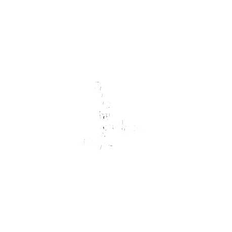 CC(C)(C)OC(=O)N[C@H]1CCCC/C=C\[C@@H]2C[C@@]2(C(=O)O)NC(=O)[C@@H]2C[C@@H](n3nnc(-c4cccc(/C=C/c5ccccc5)c4)n3)CN2C1=O